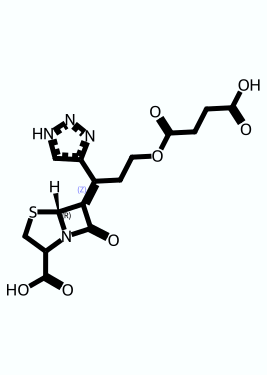 O=C(O)CCC(=O)OCC/C(=C1\C(=O)N2C(C(=O)O)CS[C@H]12)c1c[nH]nn1